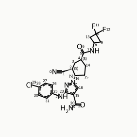 N#C[C@H]1C[C@@H](C(=O)NC2CC(F)(F)C2)CC[C@@H]1n1cc(C(N)=O)c(Nc2ccc(Cl)cc2)n1